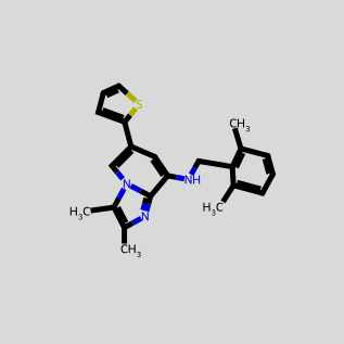 Cc1cccc(C)c1CNc1cc(-c2cccs2)cn2c(C)c(C)nc12